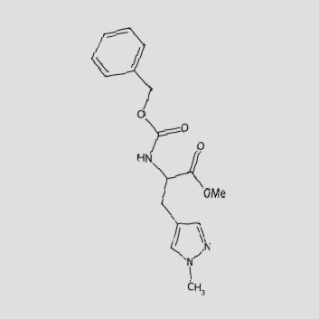 COC(=O)C(Cc1cnn(C)c1)NC(=O)OCc1ccccc1